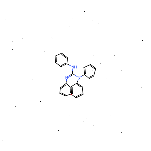 c1ccc(/N=C(/Nc2ccccc2)N(c2ccccc2)c2ccccc2)cc1